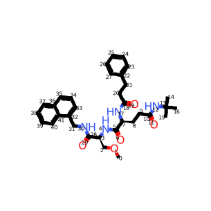 COC[C@H](NC(=O)[C@H](CCC(=O)NC(C)(C)C)NC(=O)CCc1ccccc1)C(=O)NCc1cccc2ccccc12